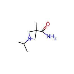 CC(C)N1CC(C)(C(N)=O)C1